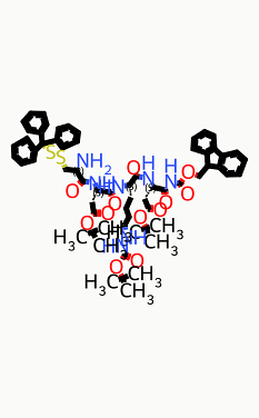 CC(C)(C)OC(=O)C[C@H](NC(=O)[C@H](CCCCNNC(=O)OC(C)(C)C)NC(=O)[C@H](CC(=O)OC(C)(C)C)NC(=O)[C@@H](N)CSSC(c1ccccc1)(c1ccccc1)c1ccccc1)C(=O)NC(=O)OCC1c2ccccc2-c2ccccc21